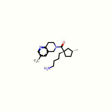 C[C@@H]1CC[C@](CCCCN)(C(=O)N2CCc3ncc(C(F)(F)F)cc3C2)C1